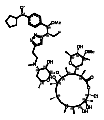 CC[C@H]1OC(=O)[C@H](C)C([C@H]2C[C@@](C)(OC)[C@@H](O)[C@H](C)O2)[C@H](C)[C@@H](O[C@@H]2O[C@H](C)C[C@H](N(C)CCc3cn([C@H](CF)[C@H](OC)c4ccc([S+]([O-])C5CCCC5)cc4)nn3)[C@H]2O)[C@](C)(O)C[C@@H](C)CN(C)[C@H](C)[C@@H](O)[C@]1(C)O